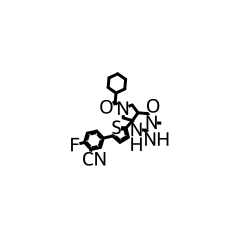 CN1C(=N)NC2(c3ccc(-c4ccc(F)c(C#N)c4)s3)CN(C(=O)C3CCCCC3)CC2C1=O